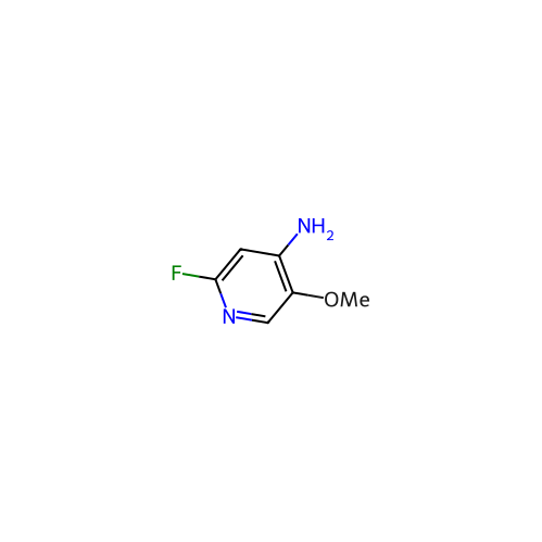 COc1cnc(F)cc1N